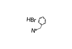 Br.N#CCc1ccccc1